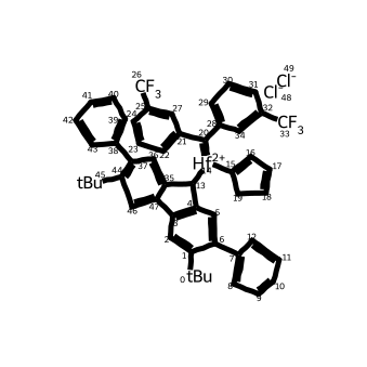 CC(C)(C)c1cc2c(cc1-c1ccccc1)[CH]([Hf+2]([C]1=CC=CC1)=[C](c1cccc(C(F)(F)F)c1)c1cccc(C(F)(F)F)c1)c1cc(-c3ccccc3)c(C(C)(C)C)cc1-2.[Cl-].[Cl-]